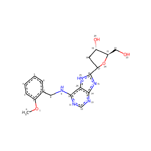 COc1ccccc1CNc1ncnc2nc(C3C[C@H](O)[C@@H](CO)O3)[nH]c12